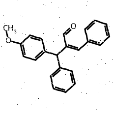 COc1ccc(C(C(C=O)=Cc2ccccc2)c2ccccc2)cc1